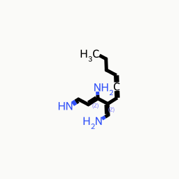 CCCC=C=CC(=C/N)/C(N)=C/C=N